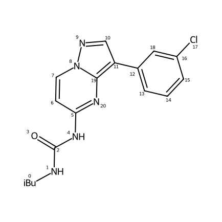 CCC(C)NC(=O)Nc1ccn2ncc(-c3cccc(Cl)c3)c2n1